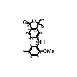 COc1ccc(C)cc1Nc1cc2c(cn1)C(=O)OC2(C)C